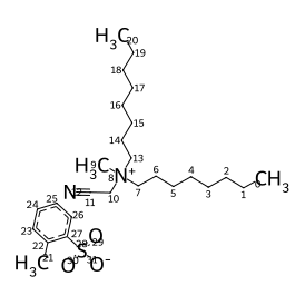 CCCCCCCC[N+](C)(CC#N)CCCCCCCC.Cc1ccccc1S(=O)(=O)[O-]